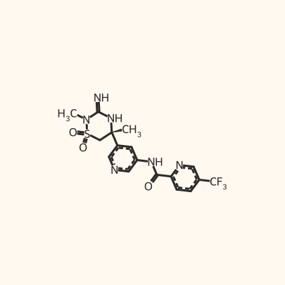 CN1C(=N)N[C@](C)(c2cncc(NC(=O)c3ccc(C(F)(F)F)cn3)c2)CS1(=O)=O